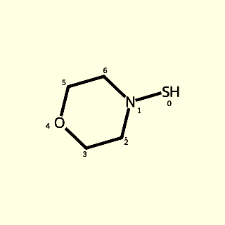 SN1[CH]COCC1